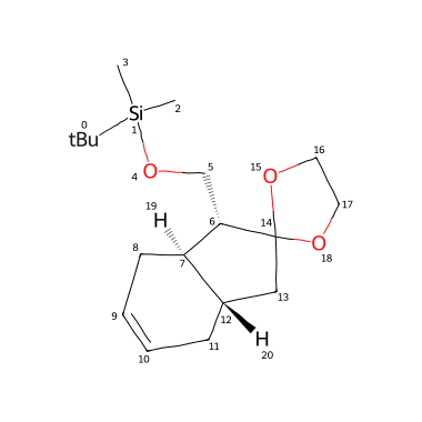 CC(C)(C)[Si](C)(C)OC[C@H]1[C@@H]2CC=CC[C@H]2CC12OCCO2